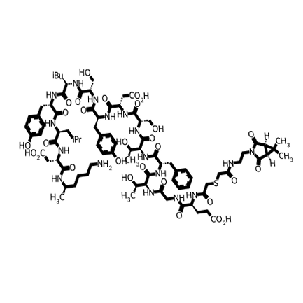 CC[C@H](C)[C@H](NC(=O)[C@H](CO)NC(=O)[C@H](Cc1ccc(O)cc1)NC(=O)[C@H](CC(=O)O)NC(=O)[C@H](CO)NC(=O)[C@@H](NC(=O)[C@H](Cc1ccccc1)NC(=O)[C@@H](NC(=O)CNC(=O)[C@H](CCC(=O)O)NC(=O)CSCC(=O)NCCN1C(=O)[C@@H]2[C@H](C1=O)C2(C)C)[C@@H](C)O)[C@@H](C)O)C(=O)N[C@@H](Cc1ccc(O)cc1)C(=O)N[C@@H](CC(C)C)C(=O)N[C@@H](CC(=O)O)C(=O)N[C@H](C)CCCCN